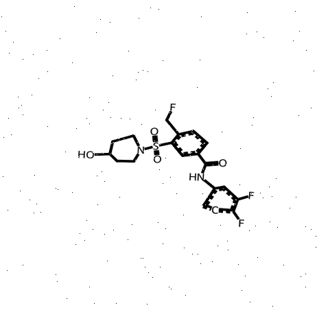 O=C(Nc1ccc(F)c(F)c1)c1ccc(CF)c(S(=O)(=O)N2CCC(O)CC2)c1